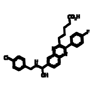 O=C(O)CCCCc1nc2cc(C(O)NCc3ccc(Cl)cc3)ccc2nc1-c1ccc(F)cc1